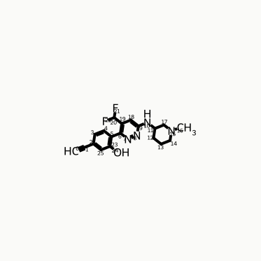 C#Cc1ccc(-c2nnc(NC3CCCN(C)C3)cc2C(F)F)c(O)c1